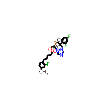 Cc1ccc(/C=C/C=C/C2OCC(SC(C)C(Cn3cncn3)(c3ccc(F)cc3F)C(C)C)CO2)c(F)c1